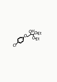 CCOC(OCC)C(O)COc1ccc(Cl)cc1